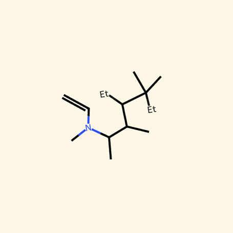 C=CN(C)C(C)C(C)C(CC)C(C)(C)CC